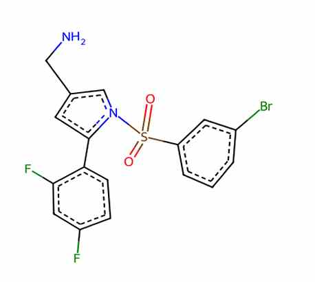 NCc1cc(-c2ccc(F)cc2F)n(S(=O)(=O)c2cccc(Br)c2)c1